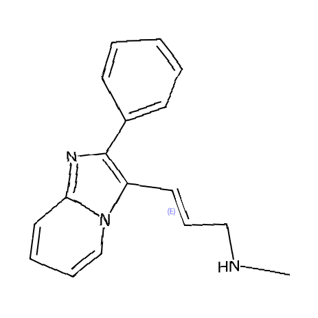 CNC/C=C/c1c(-c2ccccc2)nc2ccccn12